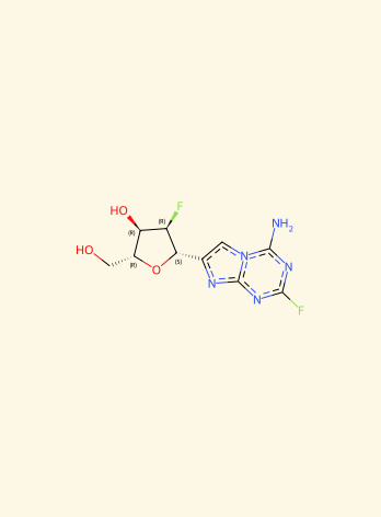 Nc1nc(F)nc2nc([C@@H]3O[C@H](CO)[C@@H](O)[C@H]3F)cn12